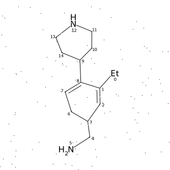 CCC1=CC(CN)CC=C1C1CCNCC1